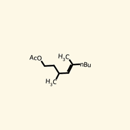 CCCCC(C)=CC(C)CCOC(C)=O